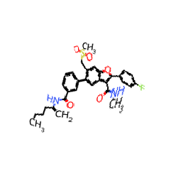 C=C(CCCC)NC(=O)c1cccc(-c2cc3c(C(=O)NC)c(-c4ccc(F)cc4)oc3cc2CS(C)(=O)=O)c1